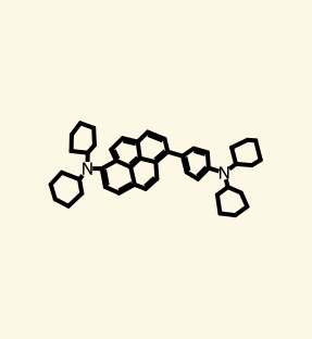 c1cc(N(C2CCCCC2)C2CCCCC2)ccc1-c1ccc2ccc3c(N(C4CCCCC4)C4CCCCC4)ccc4ccc1c2c43